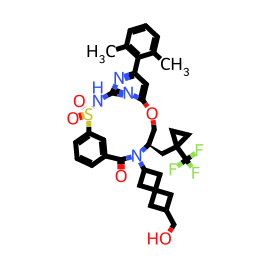 Cc1cccc(C)c1-c1cc2nc(n1)NS(=O)(=O)c1cccc(c1)C(=O)N(C1CC3(CC(CO)C3)C1)[C@H](CC1(C(F)(F)F)CC1)CO2